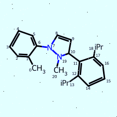 Cc1ccccc1N1C=CC(c2c(C(C)C)cccc2C(C)C)N1C